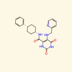 O=C(N[C@H]1CC[C@@H](c2ccccc2)CC1)c1[nH]c(=O)[nH]c(=O)c1NCc1ccccn1